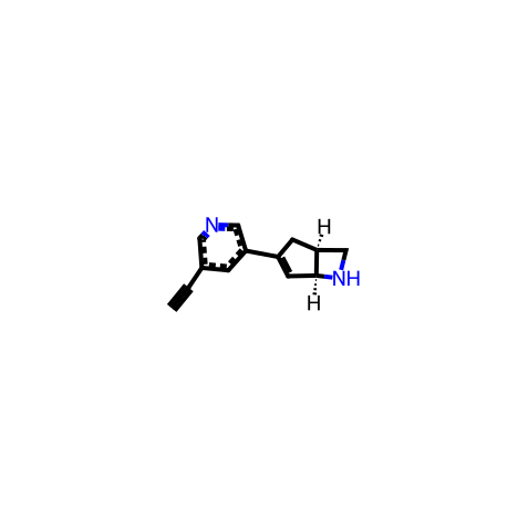 C#Cc1cncc(C2=C[C@@H]3NC[C@@H]3C2)c1